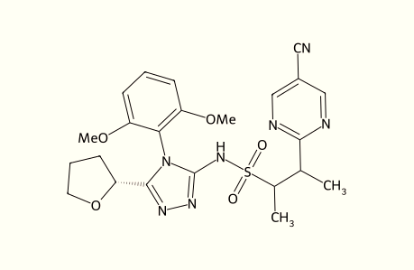 COc1cccc(OC)c1-n1c(NS(=O)(=O)C(C)C(C)c2ncc(C#N)cn2)nnc1[C@H]1CCCO1